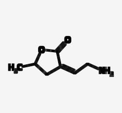 CC1C/C(=C/CN)C(=O)O1